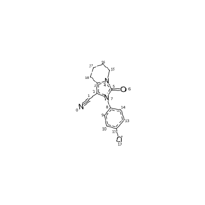 N#Cc1c2n(c(=O)n1-c1ccc(Cl)cc1)CCCC2